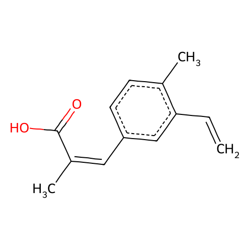 C=Cc1cc(C=C(C)C(=O)O)ccc1C